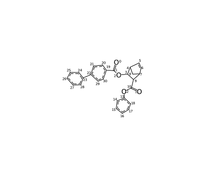 O=C(OC1C2C=CC(C2)C1C(=O)Oc1ccccc1)c1ccc(-c2ccccc2)cc1